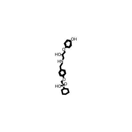 O=P(O)(COc1ccc(CCNC[C@H](O)COc2ccc(O)cc2)cc1)C1CCCCC1